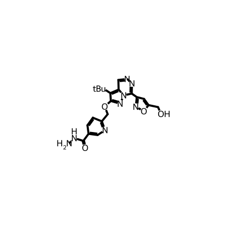 CC(C)(C)c1c(OCc2ccc(C(=O)NN)cn2)nn2c(-c3cc(CO)on3)nncc12